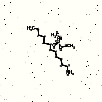 CCCCCCCCCCCCN.CO[PH](=O)OC